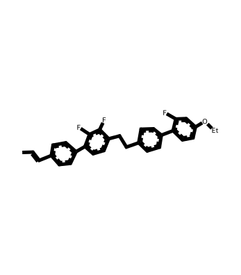 C/C=C/c1ccc(-c2ccc(CCc3ccc(-c4ccc(OCC)cc4F)cc3)c(F)c2F)cc1